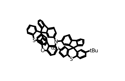 CC(C)(C)c1ccc2c(c1)C1(c3cc(C(C)(C)C)ccc3S2)c2ccccc2-c2ccc(N(c3ccc4c(c3)C3(c5ccccc5Sc5ccccc53)c3ccccc3-4)c3cccc4oc5ccccc5c34)cc21